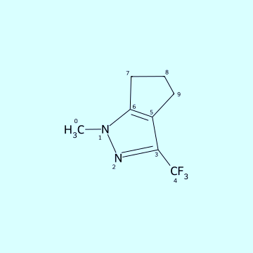 Cn1nc(C(F)(F)F)c2c1CCC2